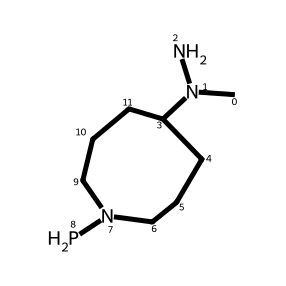 CN(N)C1CCCN(P)CCC1